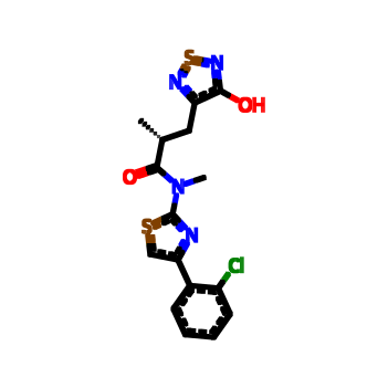 C[C@H](Cc1nsnc1O)C(=O)N(C)c1nc(-c2ccccc2Cl)cs1